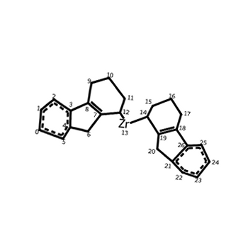 c1ccc2c(c1)CC1=C2CCC[CH]1[Zr][CH]1CCCC2=C1Cc1ccccc12